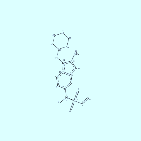 C=CS(=O)(=O)N(C)c1ccc2c(c1)nc(C(C)(C)C)n2CC1CCOCC1